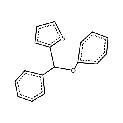 c1ccc(OC(c2ccccc2)c2cccs2)cc1